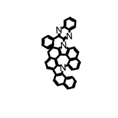 c1cccc(-c2nc3ccccc3nc2-n2c3c4c5c(ccc6c7ccc8ccccc8c7n(c7cccc8ccc2c4c87)c65)CC3)c#1